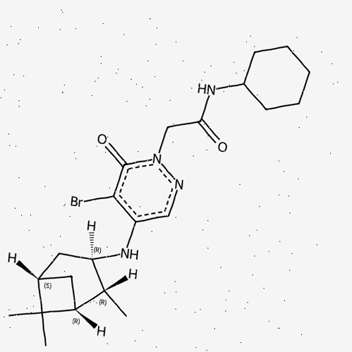 C[C@@H]1[C@H]2C[C@@H](C[C@H]1Nc1cnn(CC(=O)NC3CCCCC3)c(=O)c1Br)C2(C)C